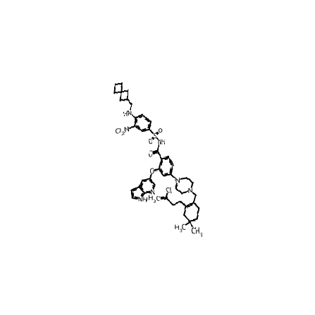 C=C(Cl)CCC1=C(CN2CCN(c3ccc(C(=O)NS(=O)(=O)c4ccc(NCC5CC6(CCC6)C5)c([N+](=O)[O-])c4)c(Oc4cnc5[nH]ccc5c4)c3)CC2)CCC(C)(C)C1